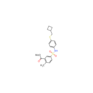 COC(=O)c1cc(S(=O)(=O)Nc2ccc(SCC3CCC3)cc2)ccc1C